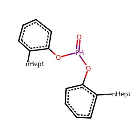 CCCCCCCc1ccccc1O[PH](=O)Oc1ccccc1CCCCCCC